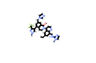 CCc1cc(CNc2nccn2C)c2nccc(N3CCc4c(cc(Cn5ccnc5)cc4-c4cn(C)nc4C(F)(F)F)C3=O)c2c1